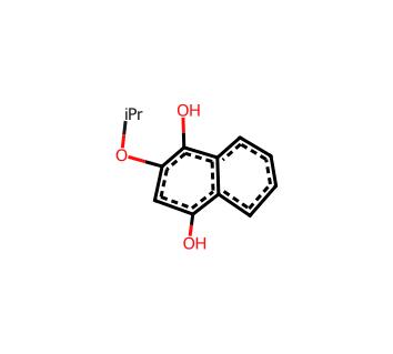 CC(C)Oc1cc(O)c2ccccc2c1O